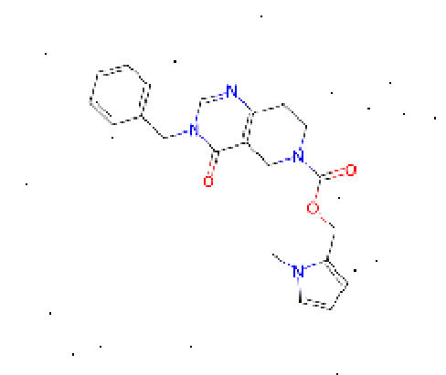 Cn1cccc1COC(=O)N1CCc2ncn(Cc3ccccc3)c(=O)c2C1